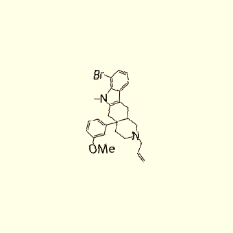 C=CCN1CCC2(c3cccc(OC)c3)Cc3c(c4cccc(Br)c4n3C)CC2C1